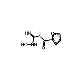 N#CNC(=N)NC(=O)c1ccco1